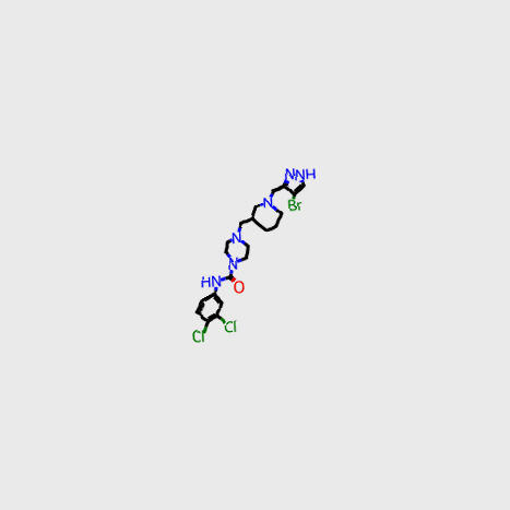 O=C(Nc1ccc(Cl)c(Cl)c1)N1CCN(CC2CCCN(Cc3n[nH]cc3Br)C2)CC1